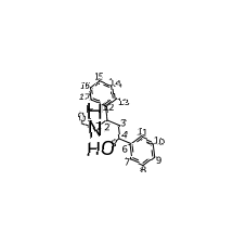 CNC(CC(O)c1ccccc1)c1ccccc1